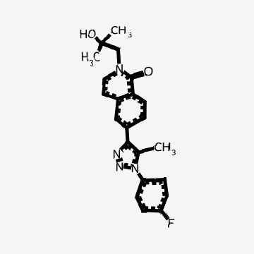 Cc1c(-c2ccc3c(=O)n(CC(C)(C)O)ccc3c2)nnn1-c1ccc(F)cc1